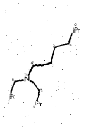 CC(C)CCCCN(CC(C)C)CC(C)C